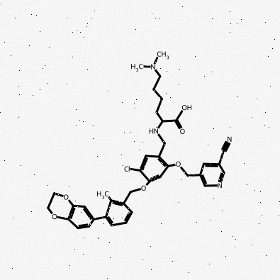 Cc1c(COc2cc(OCc3cncc(C#N)c3)c(CNC(CCCCN(C)C)C(=O)O)cc2Cl)cccc1-c1ccc2c(c1)OCCO2